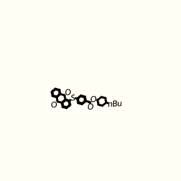 CCCCC1CCC(OC(=O)c2ccc(Sc3cccc4c3C(=O)c3ccccc3C4=O)cc2)CC1